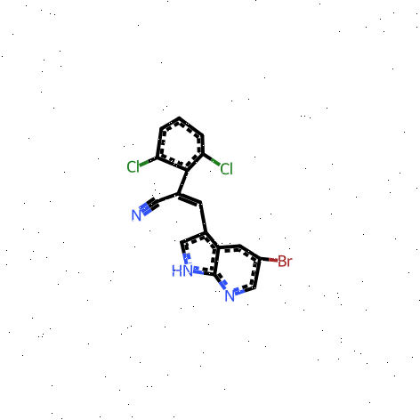 N#C/C(=C\c1c[nH]c2ncc(Br)cc12)c1c(Cl)cccc1Cl